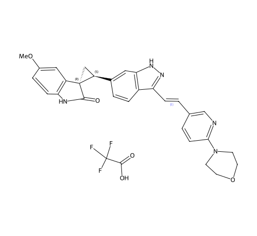 COc1ccc2c(c1)[C@]1(C[C@H]1c1ccc3c(/C=C/c4ccc(N5CCOCC5)nc4)n[nH]c3c1)C(=O)N2.O=C(O)C(F)(F)F